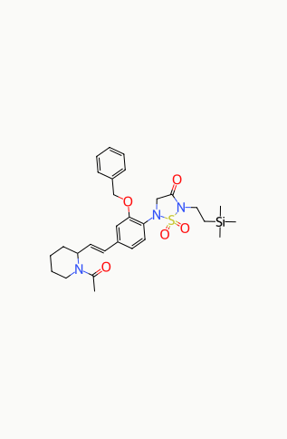 CC(=O)N1CCCCC1C=Cc1ccc(N2CC(=O)N(CC[Si](C)(C)C)S2(=O)=O)c(OCc2ccccc2)c1